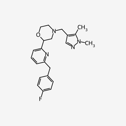 Cc1c(CN2CCOC(c3cccc(Cc4ccc(F)cc4)n3)C2)cnn1C